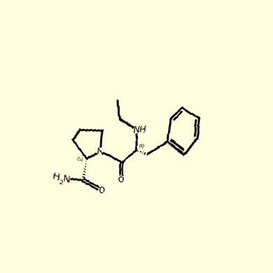 CCN[C@H](Cc1ccccc1)C(=O)N1CCC[C@H]1C(N)=O